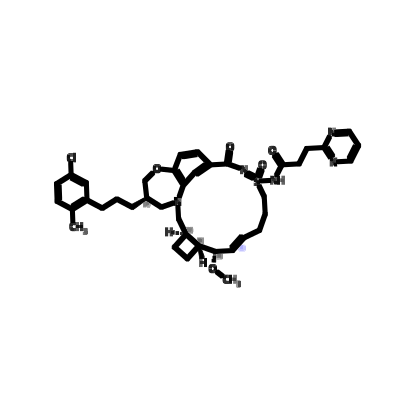 CO[C@H]1/C=C/CCCS(=O)(NC(=O)CCc2ncccn2)=NC(=O)c2ccc3c(c2)N(C[C@@H](CCCc2cc(Cl)ccc2C)CO3)C[C@@H]2CC[C@H]21